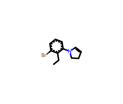 CCc1c(Br)cccc1N1C=CCC1